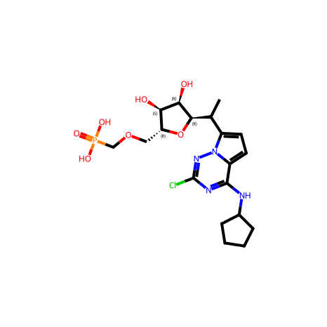 CC(c1ccc2c(NC3CCCC3)nc(Cl)nn12)[C@H]1O[C@H](COCP(=O)(O)O)[C@@H](O)[C@H]1O